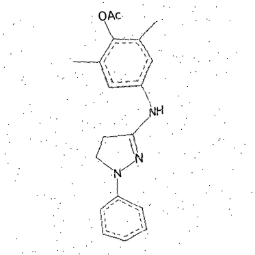 CC(=O)Oc1c(C)cc(NC2=NN(c3ccccc3)CC2)cc1C